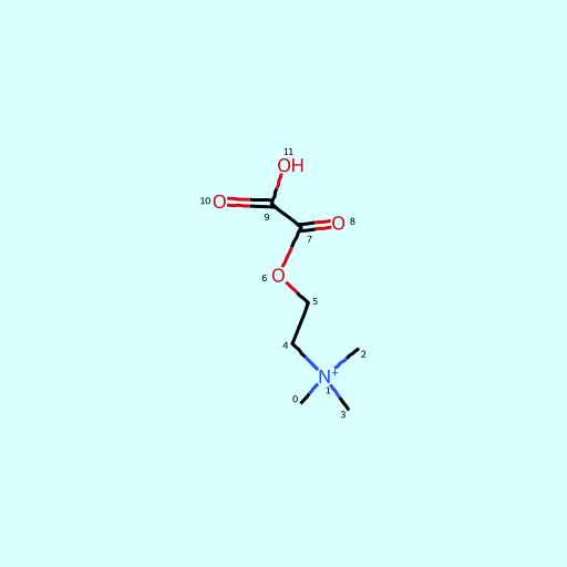 C[N+](C)(C)CCOC(=O)C(=O)O